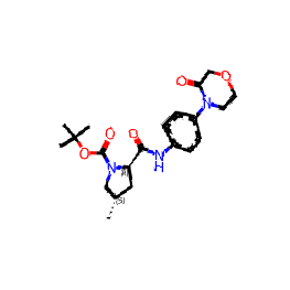 C[C@H]1C[C@H](C(=O)Nc2ccc(N3CCOCC3=O)cc2)N(C(=O)OC(C)(C)C)C1